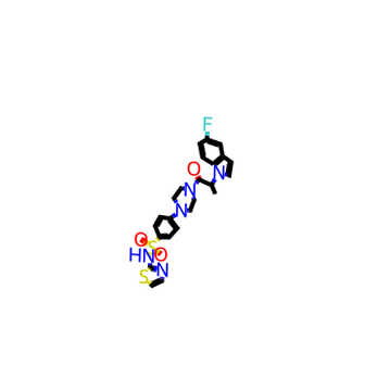 CC(C(=O)N1CCN(c2ccc(S(=O)(=O)Nc3nccs3)cc2)CC1)n1ccc2cc(F)ccc21